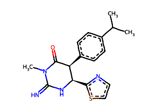 CC(C)c1ccc([C@@H]2C(=O)N(C)C(=N)N[C@@H]2c2nccs2)cc1